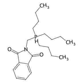 CCCC[PH](CCCC)(CCCC)CN1C(=O)c2ccccc2C1=O